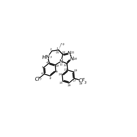 C[C@H]1CNc2cc(Cl)ccc2-n2c(-c3cccc(C(F)(F)F)c3)nnc21